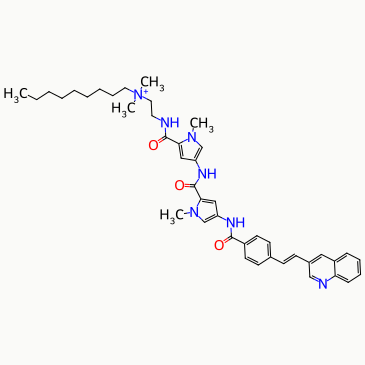 CCCCCCCCC[N+](C)(C)CCNC(=O)c1cc(NC(=O)c2cc(NC(=O)c3ccc(/C=C/c4cnc5ccccc5c4)cc3)cn2C)cn1C